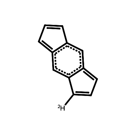 [2H]C1=CC=c2cc3c(cc21)=CC=C3